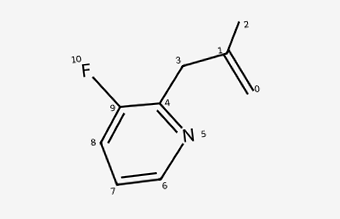 C=C(C)Cc1ncccc1F